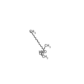 C=CC(=O)ONC(=O)C(CCC)CCCCCCCCCCCCCCCC